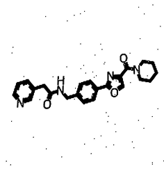 O=C(Cc1cccnc1)NCc1ccc(-c2nc(C(=O)N3CCCCC3)co2)cc1